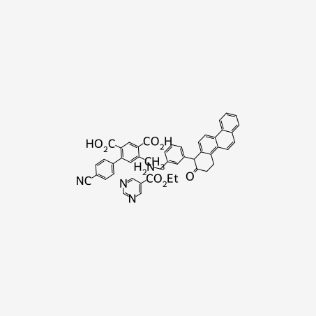 CCOC(=O)c1cncnc1.Cc1cc(-c2ccc(C#N)cc2)c(C(=O)O)cc1C(=O)O.NCc1cccc(C2C(=O)CCc3c2ccc2c3ccc3ccccc32)c1